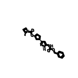 C[C@H]1CCN1C(=O)O[C@@H]1CC[C@H](c2cc(NC(=O)OCc3ccccc3)[nH]n2)C1